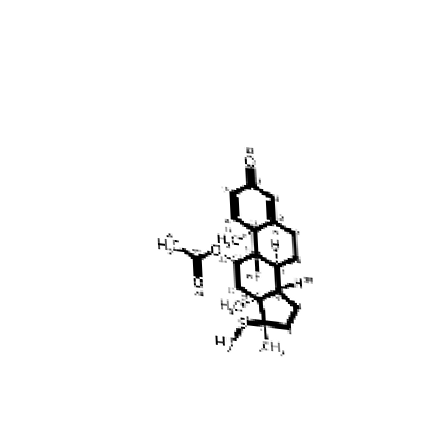 CS[C@@]1(C)CC[C@H]2[C@@H]3CCC4=CC(=O)C=C[C@]4(C)[C@@]3(F)[C@@H](OC(C)=O)C[C@@]21C